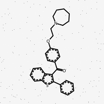 O=C(c1ccc(OCCN2CCCCCC2)cc1)c1c(-c2ccccc2)sc2ccccc12